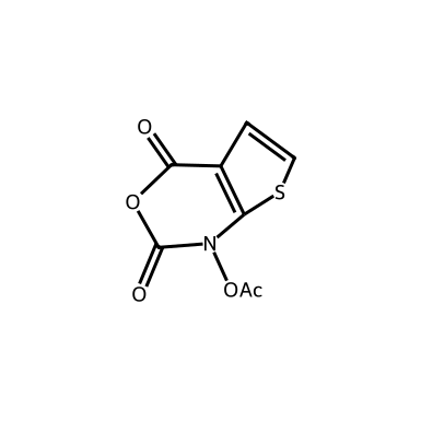 CC(=O)On1c(=O)oc(=O)c2ccsc21